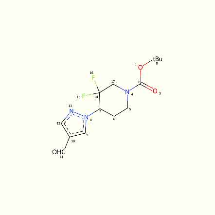 CC(C)(C)OC(=O)N1CCC(n2cc(C=O)cn2)C(F)(F)C1